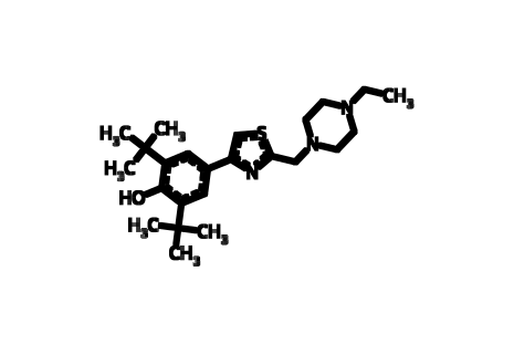 CCN1CCN(Cc2nc(-c3cc(C(C)(C)C)c(O)c(C(C)(C)C)c3)cs2)CC1